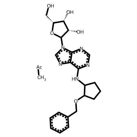 CC(C)=O.OC[C@H]1OC(n2cnc3c(NC4CCCC4OCc4ccccc4)ncnc32)[C@@H](O)[C@H]1O